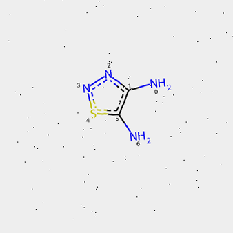 Nc1nnsc1N